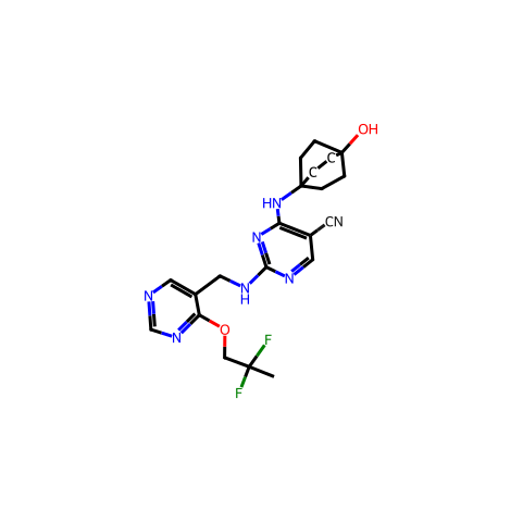 CC(F)(F)COc1ncncc1CNc1ncc(C#N)c(NC23CCC(O)(CC2)CC3)n1